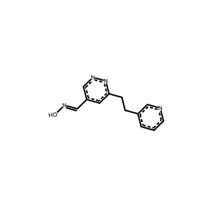 ON=Cc1cnnc(CCc2cccnc2)c1